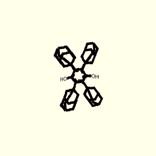 Oc1c(C23CC4CC(CC(C4)C2)C3)c(C23CC4CC(CC(C4)C2)C3)c(O)c(C23CC4CC(CC(C4)C2)C3)c1C12CC3CC(CC(C3)C1)C2